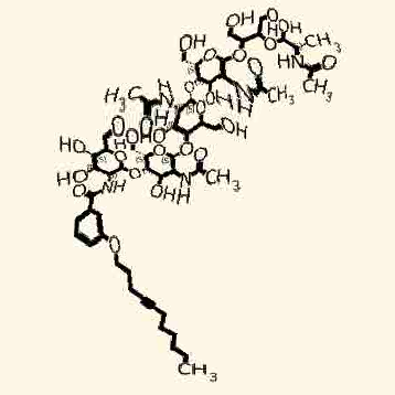 CCCCCCC#CCCCOc1cccc(C(=O)N[C@@H]2C(O[C@H]3C(O)C(NC(C)=O)[C@H](OC4C(CO)O[C@@H](O[C@H]5C(O)C(NC(C)=O)C(OC(CO)C(CO)OC(O)[C@H](C)NC(C)=O)O[C@H]5CO)[C@@H](NC(C)=O)[C@H]4O)O[C@H]3CO)OC(CO)[C@@H](O)[C@@H]2O)c1